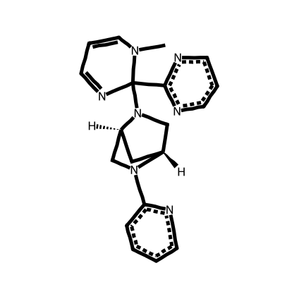 CN1C=CC=NC1(c1ncccn1)N1C[C@H]2C[C@H]1CN2c1ccccn1